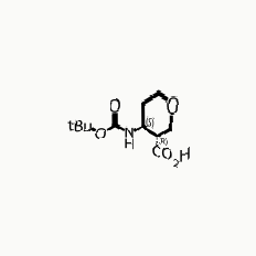 CC(C)(C)OC(=O)N[C@H]1CCOC[C@@H]1C(=O)O